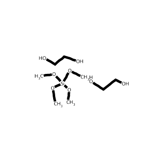 CO[Si](OC)(OC)OC.OCCO.OCCO